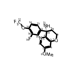 COc1cnc2c(c1)OCC[C@]2(N)c1ccc(OC(F)(F)F)c(F)c1